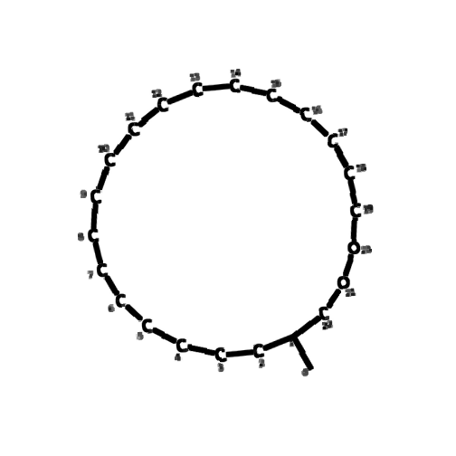 CC1CCCCCCCCCCCCCCCCCCOOC1